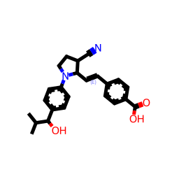 CC(C)C(O)c1ccc(N2CCC(C#N)C2/C=C/c2ccc(C(=O)O)cc2)cc1